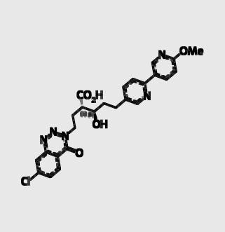 COc1ccc(-c2ccc(CC[C@@H](O)[C@H](CCn3nnc4cc(Cl)ccc4c3=O)C(=O)O)cn2)cn1